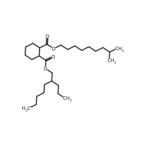 CCCCCC(CCC)COC(=O)C1CCCCC1C(=O)OCCCCCCCC(C)C